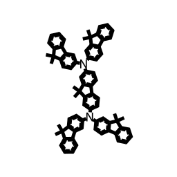 CC1(C)c2ccccc2-c2cc(N(c3ccc4c(c3)C(C)(C)c3ccccc3-4)c3ccc4c(c3)C(C)(C)c3cc(N(c5ccc6c(c5)-c5ccccc5C6(C)C)c5ccc6c(c5)C(C)(C)c5ccccc5-6)ccc3-4)ccc21